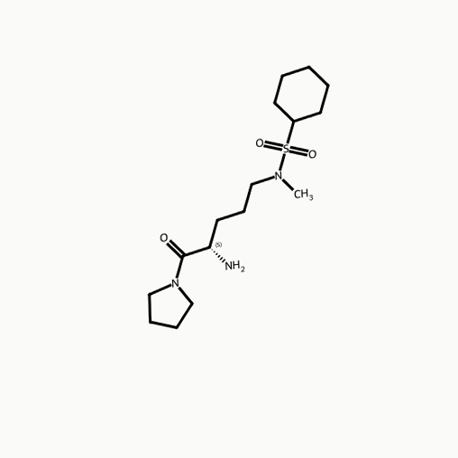 CN(CCC[C@H](N)C(=O)N1CCCC1)S(=O)(=O)C1CCCCC1